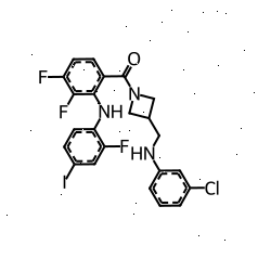 O=C(c1ccc(F)c(F)c1Nc1ccc(I)cc1F)N1CC(CNc2cccc(Cl)c2)C1